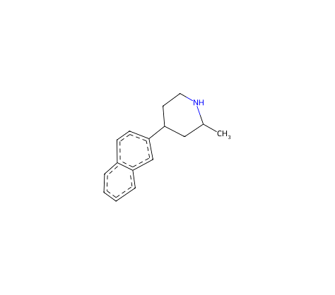 CC1CC(c2ccc3ccccc3c2)CCN1